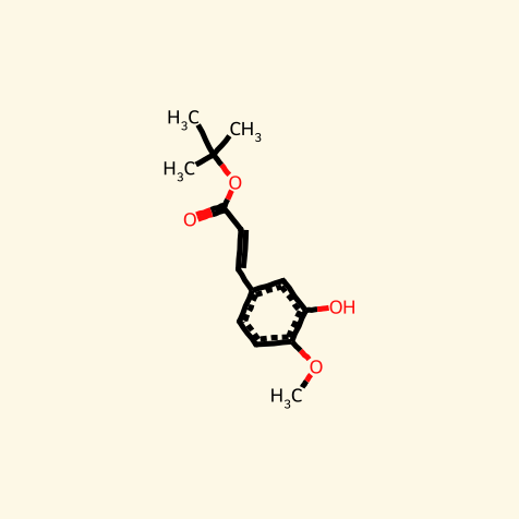 COc1ccc(/C=C/C(=O)OC(C)(C)C)cc1O